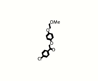 COCCOc1ccc(OCC(=O)c2ccc(Cl)cc2)cc1